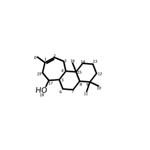 CC1=CCC2C(CCC3C(C)(C)CCCC23C)C(O)C1